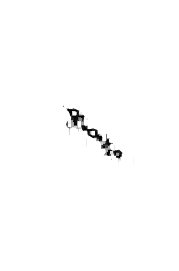 C/C(=N\NC(=O)c1ccc(N)cc1[N+](=O)[O-])c1ccc(C(=O)Nc2nc(=O)n([C@H]3CC[C@@H](C)O3)cc2F)cc1